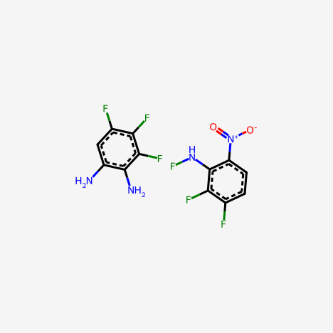 Nc1cc(F)c(F)c(F)c1N.O=[N+]([O-])c1ccc(F)c(F)c1NF